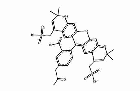 CC(=O)Cc1ccc(C2=c3cc4c(cc3Oc3cc5c(cc32)C(CS(=O)(=O)O)=CC(C)(C)N5)=NC(C)(C)C=C4CS(=O)(=O)O)c(C(=O)O)c1